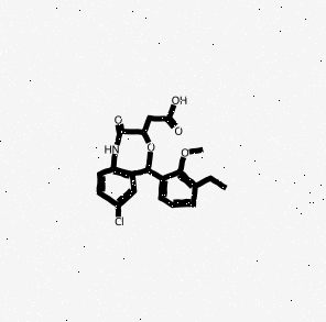 CCc1cccc(C2OC(CC(=O)O)C(=O)Nc3ccc(Cl)cc32)c1OC